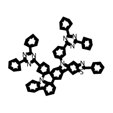 c1ccc(-c2nc(-c3ccccc3)nc(-c3cccc(-n4c5ccc(-c6cccc7c8ccccc8n(-c8cccc(-c9nc(-c%10ccccc%10)nc(-c%10ccccc%10)n9)c8)c67)cc5c5cc6sc(-c7ccccc7)nc6cc54)c3)n2)cc1